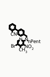 CCCCCN(Cc1ccc(-c2ccccc2C#N)cc1)c1ncc(Br)c(C)c1[N+](=O)[O-]